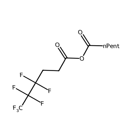 CCCCCC(=O)OC(=O)CCC(F)(F)C(F)(F)C(F)(F)F